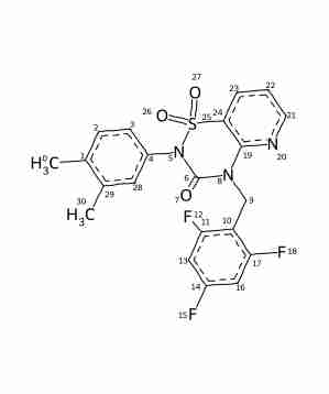 Cc1ccc(N2C(=O)N(Cc3c(F)cc(F)cc3F)c3ncccc3S2(=O)=O)cc1C